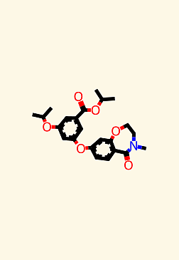 CC(C)OC(=O)c1cc(Oc2ccc3c(c2)OCCN(C)C3=O)cc(OC(C)C)c1